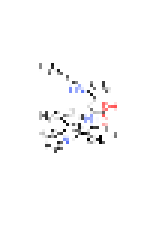 C=CCCCNC(=C)CCC(NC(=C)/C(C)=C/CN(C)C(=C)C(C)C(C)C)C(=O)O